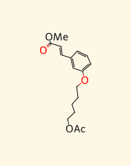 COC(=O)/C=C/c1cccc(OCCCCCOC(C)=O)c1